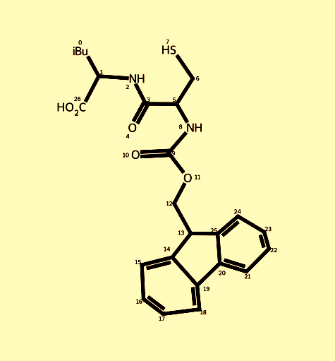 CCC(C)C(NC(=O)C(CS)NC(=O)OCC1c2ccccc2-c2ccccc21)C(=O)O